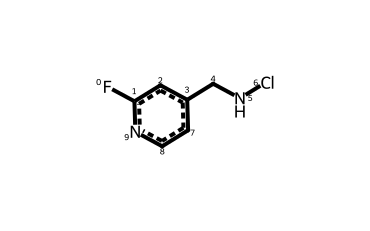 Fc1cc(CNCl)ccn1